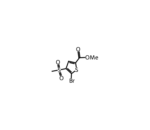 COC(=O)c1cc(S(C)(=O)=O)c(Br)s1